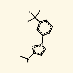 CNc1ccn(-c2cccc(C(F)(F)F)c2)n1